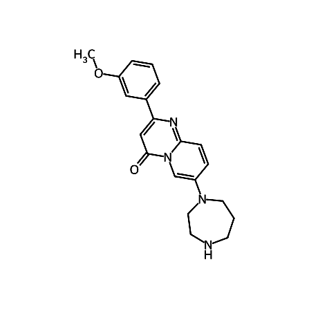 COc1cccc(-c2cc(=O)n3cc(N4CCCNCC4)ccc3n2)c1